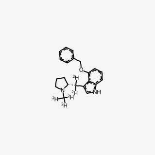 [2H]C([2H])(c1c[nH]c2cccc(OCc3ccccc3)c12)[C@H]1CCCN1C([2H])([2H])[2H]